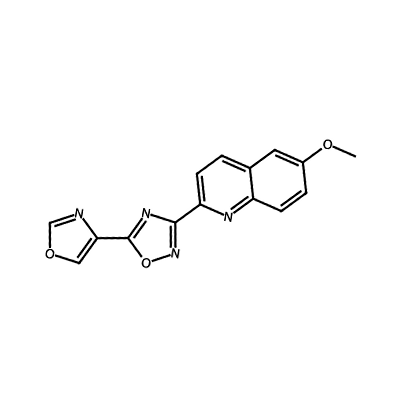 COc1ccc2nc(-c3noc(-c4cocn4)n3)ccc2c1